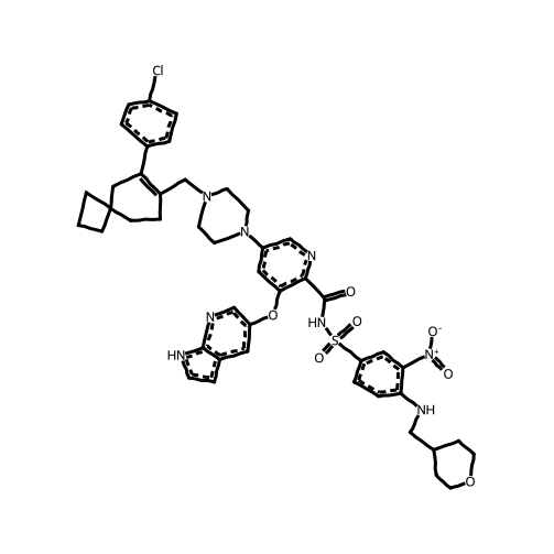 O=C(NS(=O)(=O)c1ccc(NCC2CCOCC2)c([N+](=O)[O-])c1)c1ncc(N2CCN(CC3=C(c4ccc(Cl)cc4)CC4(CCC4)CC3)CC2)cc1Oc1cnc2[nH]ccc2c1